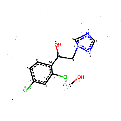 O=[N+]([O-])O.OC(Cn1cncn1)c1ccc(Cl)cc1Cl